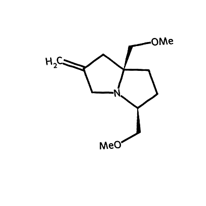 C=C1CN2[C@H](COC)CC[C@@]2(COC)C1